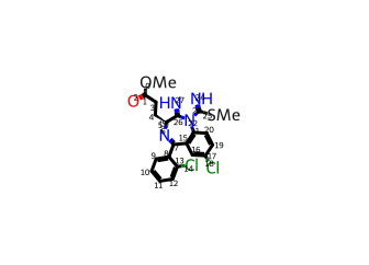 COC(=O)CC[C@@H]1N=C(c2ccccc2Cl)c2cc(Cl)ccc2N(C(=N)SC)C1=N